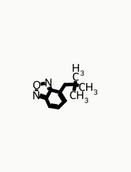 CC(C)(C)Cc1cccc2nonc12